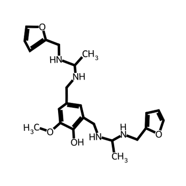 COc1cc(CNC(C)NCc2ccco2)cc(CNC(C)NCc2ccco2)c1O